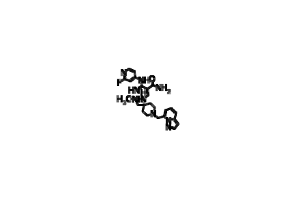 CNCC1(N/C=C(\C(=N)Nc2ccnc(F)c2)C(N)=O)CCN(Cc2cccc3ccnn23)CC1